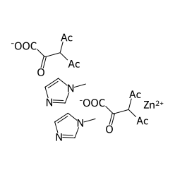 CC(=O)C(C(C)=O)C(=O)C(=O)[O-].CC(=O)C(C(C)=O)C(=O)C(=O)[O-].Cn1ccnc1.Cn1ccnc1.[Zn+2]